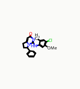 COc1cc(Nc2nc(=O)cc3n2C(c2ccccc2)CC3)c(C)cc1Cl